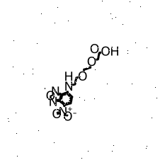 O=C(O)COCCOCCNc1ccc([N+](=O)[O-])c2nonc12